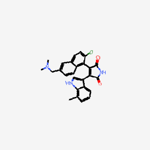 Cc1cccc2c(C3=C(c4c(Cl)ccc5cc(CN(C)C)ccc45)C(=O)NC3=O)c[nH]c12